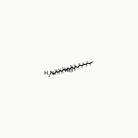 CCCCCCCCCCCCCCCCCCCCN.Cl